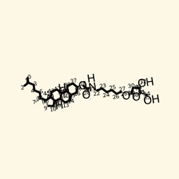 CC(C)CCC[C@@H](C)[C@H]1CC[C@H]2C3CC=C4C[C@@H](OC(=O)NCCCCCCO[C@@H]5C[C@H](O)[C@@H](CO)O5)CC[C@]4(C)[C@H]3CC[C@]12C